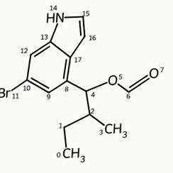 CCC(C)C(OC=O)c1cc(Br)cc2[nH]ccc12